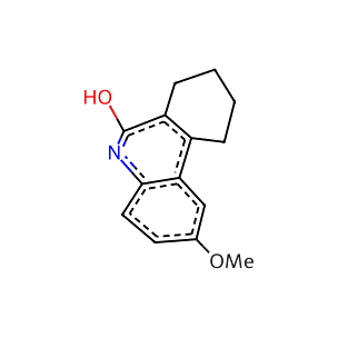 COc1ccc2nc(O)c3c(c2c1)CCCC3